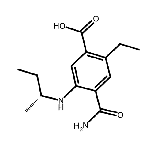 CCc1cc(C(N)=O)c(N[C@H](C)CC)cc1C(=O)O